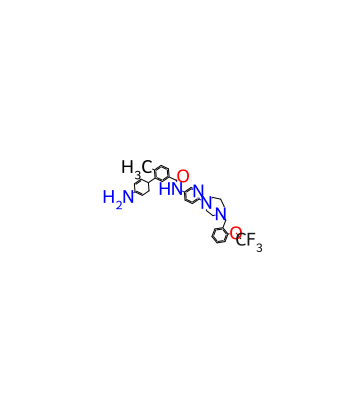 Cc1ccc(C(=O)Nc2ccc(N3CCCN(Cc4ccccc4OC(F)(F)F)CC3)nc2)cc1C1C=CC(N)=CC1